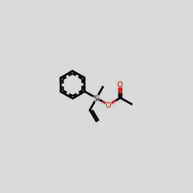 C=C[Si](C)(OC(C)=O)c1ccccc1